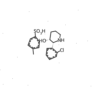 Cc1ccc(S(=O)(=O)O)cc1.O[C@@H]1CCCN[C@@H]1c1ccccc1Cl